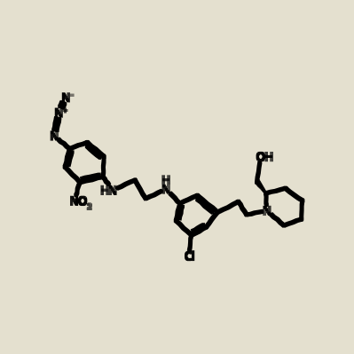 [N-]=[N+]=Nc1ccc(NCCNc2cc(Cl)cc(CCN3CCCC[C@@H]3CO)c2)c([N+](=O)[O-])c1